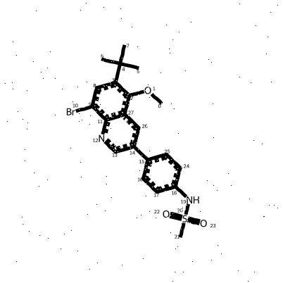 COc1c(C(C)(C)C)cc(Br)c2ncc(-c3ccc(NS(C)(=O)=O)cc3)cc12